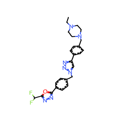 CCN1CCN(Cc2ccc(-c3cn(Cc4ccc(-c5nnc(C(F)F)o5)cc4)nn3)cc2)CC1